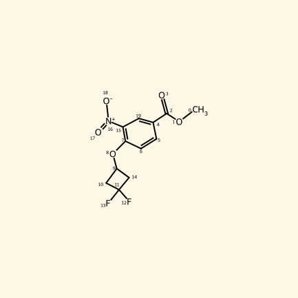 COC(=O)c1ccc(OC2CC(F)(F)C2)c([N+](=O)[O-])c1